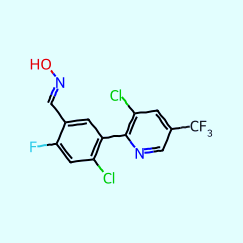 ON=Cc1cc(-c2ncc(C(F)(F)F)cc2Cl)c(Cl)cc1F